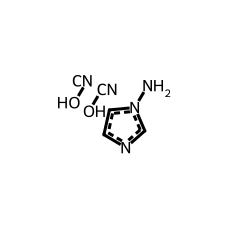 N#CO.N#CO.Nn1ccnc1